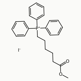 COC(=O)CCCCC[P+](c1ccccc1)(c1ccccc1)c1ccccc1.[I-]